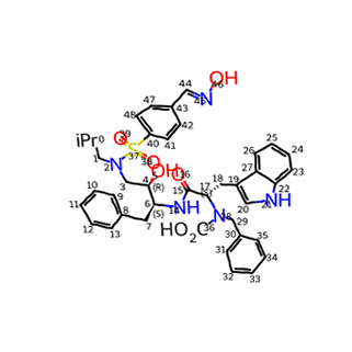 CC(C)CN(C[C@@H](O)[C@H](Cc1ccccc1)NC(=O)[C@H](Cc1c[nH]c2ccccc12)N(Cc1ccccc1)C(=O)O)S(=O)(=O)c1ccc(C=NO)cc1